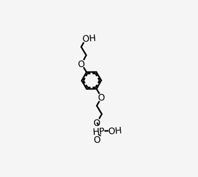 O=[PH](O)OCCOc1ccc(OCCO)cc1